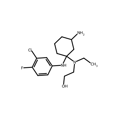 CCN(CCO)C1(Nc2ccc(F)c(Cl)c2)CCCC(N)C1